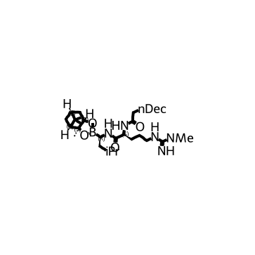 CCCCCCCCCCCC(=O)N[C@@H](CCCNC(=N)NC)C(=O)N[C@@H](CC(C)C)B1O[C@@H]2C[C@@H]3C[C@@H](C3(C)C)[C@]2(C)O1